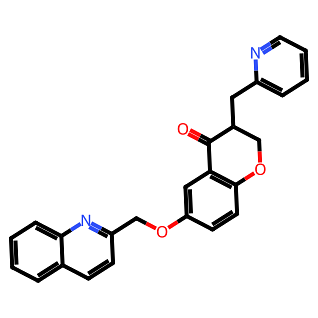 O=C1c2cc(OCc3ccc4ccccc4n3)ccc2OCC1Cc1ccccn1